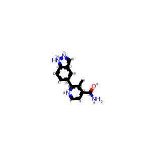 Cc1c(C(N)=O)ccnc1-c1ccc2[nH]ncc2c1